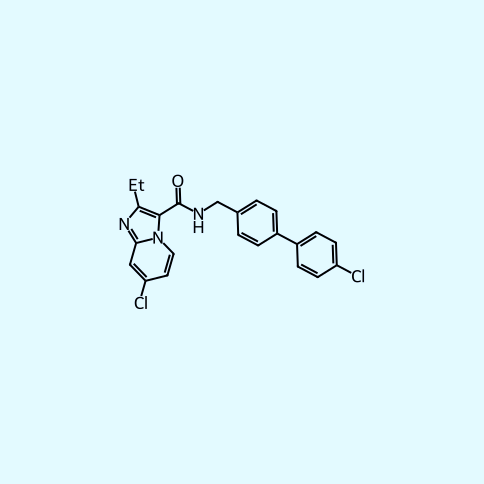 CCc1nc2cc(Cl)ccn2c1C(=O)NCc1ccc(-c2ccc(Cl)cc2)cc1